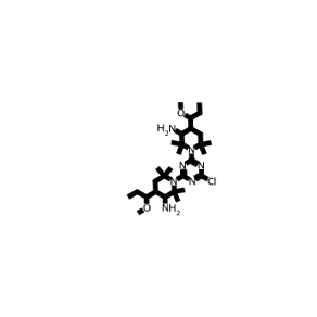 CCC(OC)C1CC(C)(C)N(c2nc(Cl)nc(N3C(C)(C)CC(C(CC)OC)C(N)C3(C)C)n2)C(C)(C)C1N